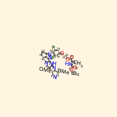 COc1cnccc1Nc1nc(-c2nn(Cc3c(F)cc(OCCOC(=O)[C@H](C)NC(=O)OC(C)(C)C)cc3F)c3ccccc23)ncc1OC